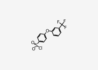 O=S(=O)(Cl)c1ccc(Oc2cccc(C(F)(F)F)c2)cc1